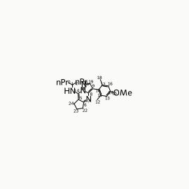 CCCC(CCC)Nc1c2c(nc3c(-c4c(C)cc(OC)cc4C)cnn13)CCC2